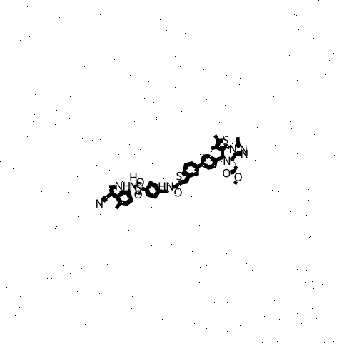 COC(=O)C[C@@H]1N=C(c2ccc(-c3ccc4sc(C(=O)NCc5ccc(S(=O)(=O)Nc6ccc(C)c7c(C#N)c[nH]c67)cc5)cc4c3)cc2)c2c(sc(C)c2C)-n2c(C)nnc21